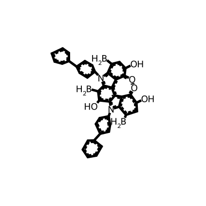 Bc1cc(O)c2ooc3c(O)cc(B)c4c3c3c5c2c1n(-c1ccc(-c2ccccc2)cc1)c5c(B)c(O)c3n4-c1ccc(-c2ccccc2)cc1